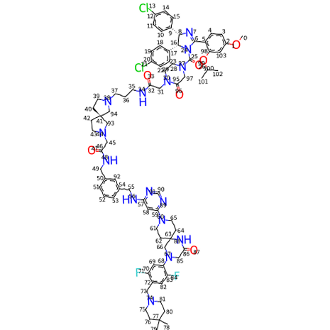 COc1ccc(C2=N[C@@H](c3ccc(Cl)cc3)[C@@H](c3ccc(Cl)cc3)N2C(=O)N2CCN(CC(=O)NCCCN3CC[C@@]4(CCN(CC(=O)NCc5cccc(CNc6cc(N7CCC8(CC7)CN(c7cc(F)c(CN9CCC(C)(C)CC9)cc7F)CC(=O)N8)ncn6)c5)C4)C3)C(=O)C2)c(OC(C)C)c1